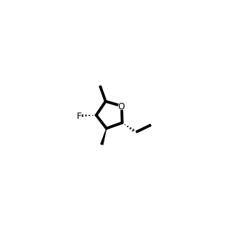 CC[C@H]1OC(C)[C@@H](F)[C@@H]1C